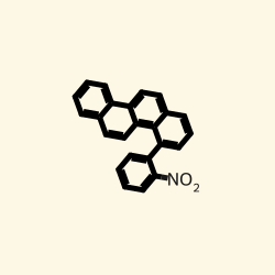 O=[N+]([O-])c1ccccc1-c1cccc2ccc3c4ccccc4ccc3c12